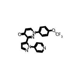 O=c1ccn(-c2ccc(OC(F)(F)F)cc2)nc1-c1ccnn1-c1ccncc1